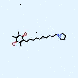 CC1=C(C)C(=O)C(CCCCCCCCCCN2CCCC2)=C(C)C1=O